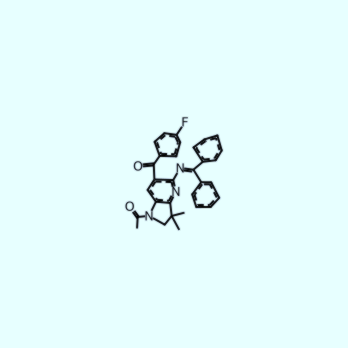 CC(=O)N1CC(C)(C)c2nc(N=C(c3ccccc3)c3ccccc3)c(C(=O)c3ccc(F)cc3)cc21